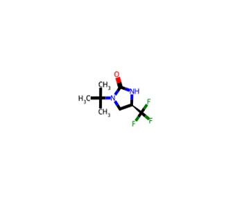 CC(C)(C)N1C[C@H](C(F)(F)F)NC1=O